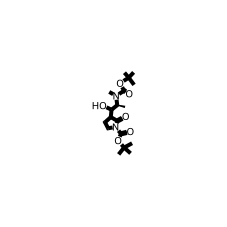 C[C@@H](C(O)C1CCN(C(=O)OC(C)(C)C)C1=O)N(C)C(=O)OC(C)(C)C